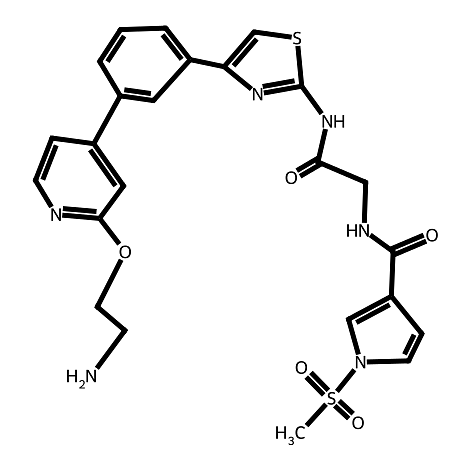 CS(=O)(=O)n1ccc(C(=O)NCC(=O)Nc2nc(-c3cccc(-c4ccnc(OCCN)c4)c3)cs2)c1